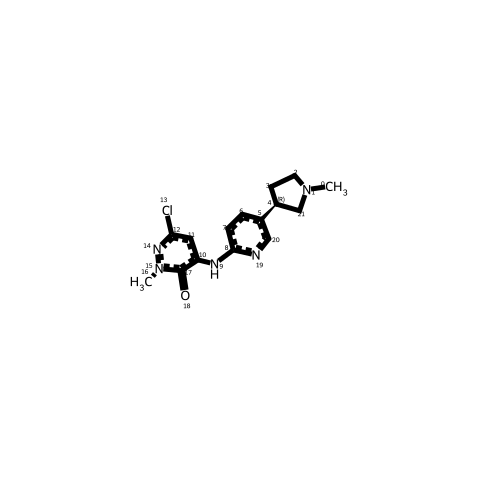 CN1CC[C@H](c2ccc(Nc3cc(Cl)nn(C)c3=O)nc2)C1